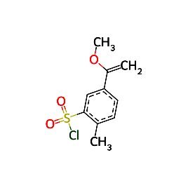 C=C(OC)c1ccc(C)c(S(=O)(=O)Cl)c1